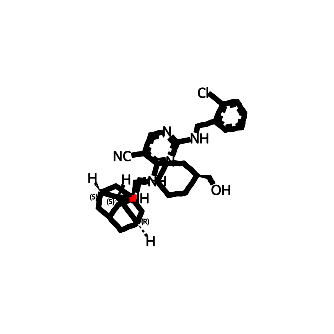 N#Cc1cnc(NCc2ccccc2Cl)nc1NC[C@]12CC3C[C@H](C1)[C@@H](NC[C@H]1CC[C@H](CO)CC1)[C@@H](C3)C2